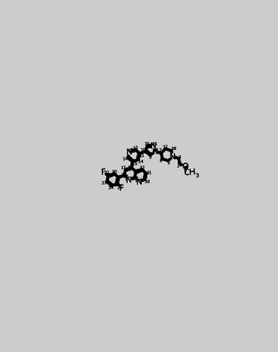 COCCN1CCC(n2cc(-c3cncc(-c4cc(-c5cc(F)ccc5F)nc5ncccc45)c3)cn2)CC1